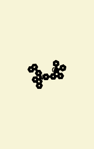 c1ccc(-c2oc3c4cc(-c5ccc(N(c6ccc(-c7cccc8ccccc78)cc6)c6cc7ccccc7c7ccccc67)cc5)ccc4c4ccccc4c3c2-c2ccccc2)cc1